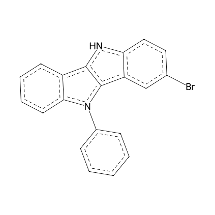 Brc1ccc2[nH]c3c4ccccc4n(-c4ccccc4)c3c2c1